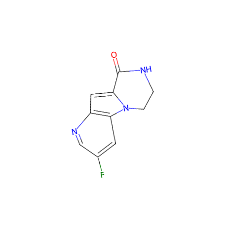 O=C1NCCn2c1cc1ncc(F)cc12